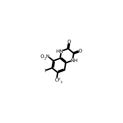 O=c1[nH]c2cc(C(F)(F)F)c(I)c([N+](=O)[O-])c2[nH]c1=O